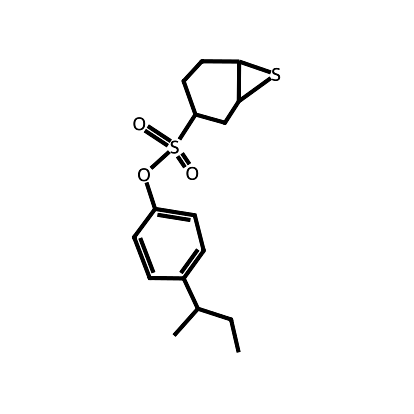 CCC(C)c1ccc(OS(=O)(=O)C2CCC3SC3C2)cc1